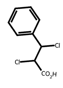 O=C(O)C(Cl)C(Cl)c1ccccc1